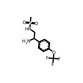 CS(=O)(=O)NCC(N)c1ccc(OC(F)(F)F)cc1